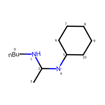 CCCCNC(C)[N]C1CCCCC1